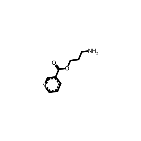 NCCCOC(=O)c1cccnc1